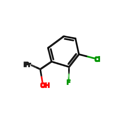 CC(C)C(O)c1cccc(Cl)c1F